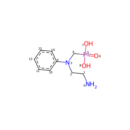 NCCN(CP(=O)(O)O)c1ccccc1